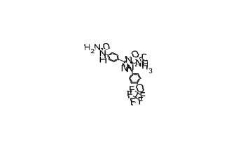 CC(=O)Nc1nc(-c2ccc(NC(N)=O)cc2)nn1-c1ccc(OC(F)(F)C(F)(F)F)cc1